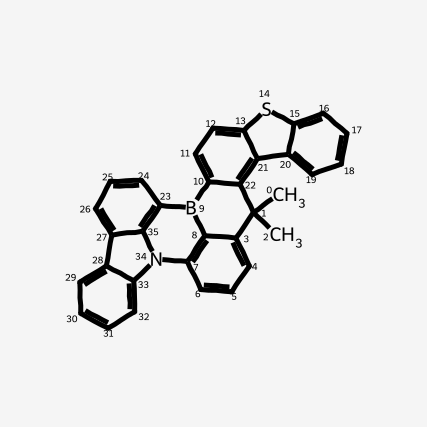 CC1(C)c2cccc3c2B(c2ccc4sc5ccccc5c4c21)c1cccc2c4ccccc4n-3c12